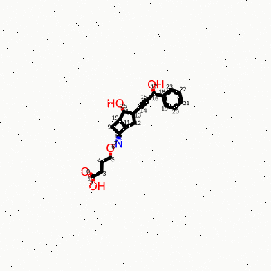 O=C(O)CCCON=C1CC2C1CC(C#CC(O)c1ccccc1)C2O